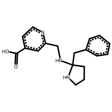 O=C(O)c1ccnc(CNC2(Cc3ccccc3)CCCN2)c1